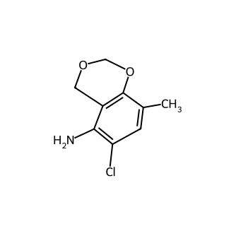 Cc1cc(Cl)c(N)c2c1OCOC2